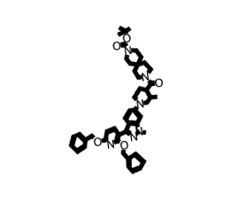 CC1CN(c2ccc3c(-c4ccc(OCc5ccccc5)nc4OCc4ccccc4)nn(C)c3c2)CCC1C(=O)N1CCC2(CCN(C(=O)OC(C)(C)C)CC2)CC1